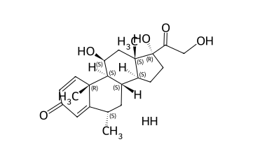 C[C@H]1C[C@@H]2[C@H]([C@@H](O)C[C@@]3(C)[C@H]2CC[C@]3(O)C(=O)CO)[C@@]2(C)C=CC(=O)C=C12.[HH]